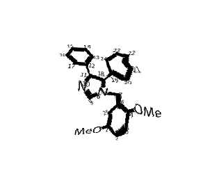 COc1ccc(OC)c(CN2C=N[C@@H](c3ccccc3)[C@H]2c2ccccc2)c1